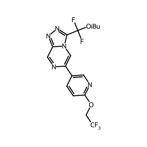 CC(C)COC(F)(F)c1nnc2cnc(-c3ccc(OCC(F)(F)F)nc3)cn12